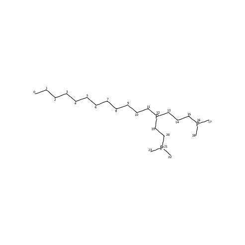 CCCCCCCCCCCCP(CCCP(C)C)CCP(C)C